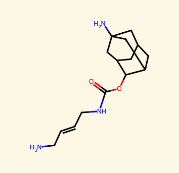 NC/C=C/CNC(=O)OC1C2CC3CC1CC(N)(C3)C2